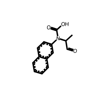 CC(C=O)N(C(=O)O)c1ccc2ccccc2c1